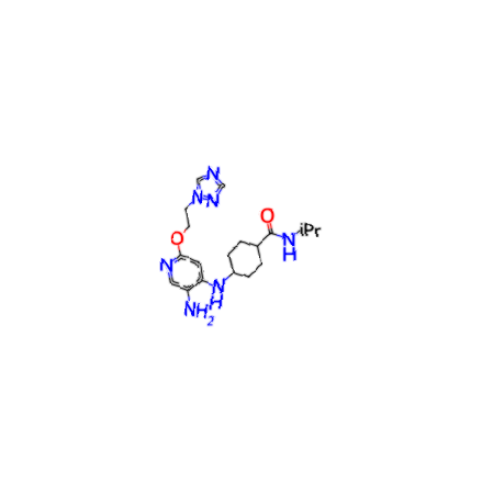 CC(C)NC(=O)C1CCC(Nc2cc(OCCn3cncn3)ncc2N)CC1